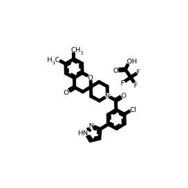 Cc1cc2c(cc1C)C(=O)CC1(CCN(C(=O)c3cc(-c4cc[nH]n4)ccc3Cl)CC1)O2.O=C(O)C(F)(F)F